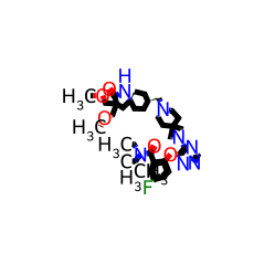 CCN(C(=O)c1cc(F)ccc1Oc1nncnc1N1CC2(CCN(C[C@H]3CC[C@]4(CC3)CC(COC)(COC)C(=O)N4)CC2)C1)C(C)C